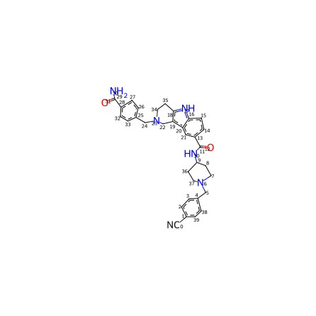 N#Cc1ccc(CN2CCC(NC(=O)c3ccc4[nH]c5c(c4c3)CN(Cc3ccc(C(N)=O)cc3)CC5)CC2)cc1